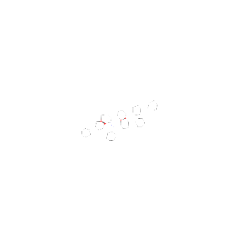 CC1(C)c2ccccc2-c2cccc(-c3ccccc3N(c3ccc4c(c3)C3(CCCCC3)c3ccccc3-4)c3ccccc3-c3ccc(-c4ccc(-c5ccccc5)cc4)cc3)c21